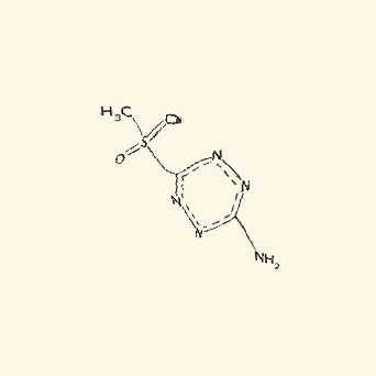 CS(=O)(=O)c1nnc(N)nn1